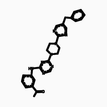 CC(=O)c1cccc(Nc2ncnc(N3CCN(c4ncc(Cc5ccccc5)cn4)CC3)n2)c1